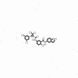 O=C(Nc1ccc2[nH]ccc2c1)c1cc(NC(=O)[C@@H]2[C@@H](c3cc(Cl)cc(Cl)c3)C2(Cl)Cl)ccc1Cl